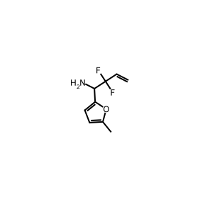 C=CC(F)(F)C(N)c1ccc(C)o1